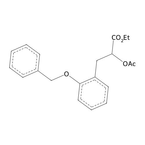 CCOC(=O)C(Cc1ccccc1OCc1ccccc1)OC(C)=O